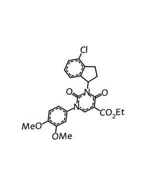 CCOC(=O)c1cn(-c2ccc(OC)c(OC)c2)c(=O)n(C2CCc3c(Cl)cccc32)c1=O